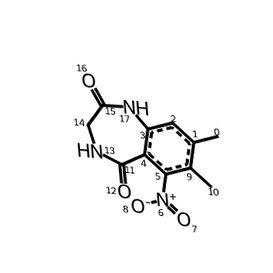 Cc1cc2c(c([N+](=O)[O-])c1C)C(=O)NCC(=O)N2